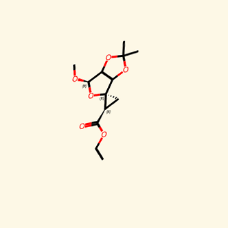 CCOC(=O)[C@@H]1C[C@@]12O[C@@H](OC)C1OC(C)(C)OC12